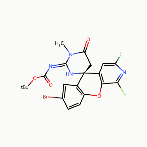 CN1C(=O)C[C@]2(N/C1=N\C(=O)OC(C)(C)C)c1cc(Br)ccc1Oc1c2cc(Cl)nc1F